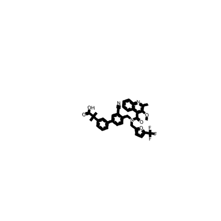 COc1c(C)nc2ccccc2c1C(=O)N(Cc1ccc(C(F)(F)F)o1)Cc1ccc(-c2cccc(C(C)(C)C(=O)O)c2)cc1C#N